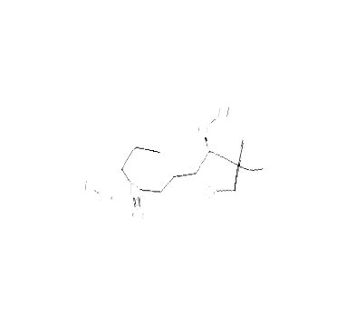 [3H]O[C@@H]1[C@@H]([C@H]2CCC[P@@](=O)(O[3H])C2)O[C@@H](C)C1(C)C